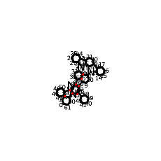 c1ccc(-c2ccc(-c3ccc(-n4c5ccccc5c5ccc6c7ccccc7n(-c7ccc(-c8cc(-c9ccccc9)nc(-c9ccccc9)n8)cc7)c6c54)cc3)cc2)cc1